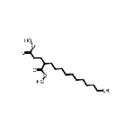 CCCCCCCCCCCC(CCC(=O)OO)C(=O)OO